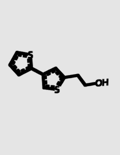 OCCc1cc(-c2cccs2)cs1